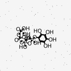 O=P(O)(O)OP(=O)(O)OP(=O)(O)OP(=O)(O)Oc1cc(O)c(O)c(O)c1O